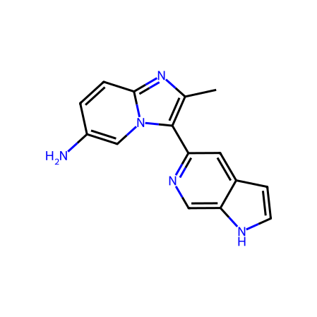 Cc1nc2ccc(N)cn2c1-c1cc2cc[nH]c2cn1